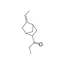 CC=C1CC2CC1CC2C(=O)CC